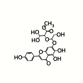 COC(=O)C(OC(CO)Oc1cc2oc(-c3ccc(O)cc3)cc(=O)c2c(O)c1O)C(O)O